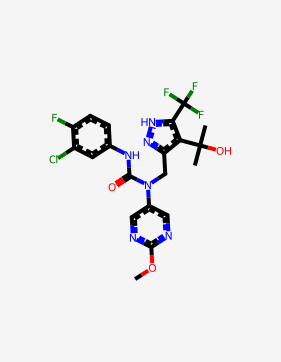 COc1ncc(N(Cc2n[nH]c(C(F)(F)F)c2C(C)(C)O)C(=O)Nc2ccc(F)c(Cl)c2)cn1